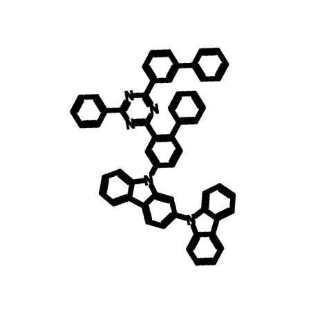 c1ccc(-c2cccc(-c3nc(-c4ccccc4)nc(-c4cc(-n5c6ccccc6c6ccc(-n7c8ccccc8c8ccccc87)cc65)ccc4-c4ccccc4)n3)c2)cc1